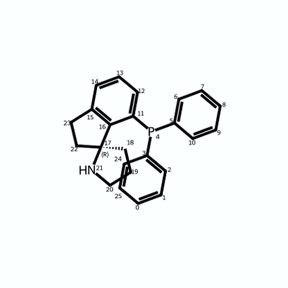 c1ccc(P(c2ccccc2)c2cccc3c2[C@]2(CCCN2)CC3)cc1